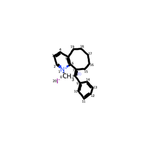 C[n+]1cccc2c1/C(=C/c1ccccc1)CCCCC2.[I-]